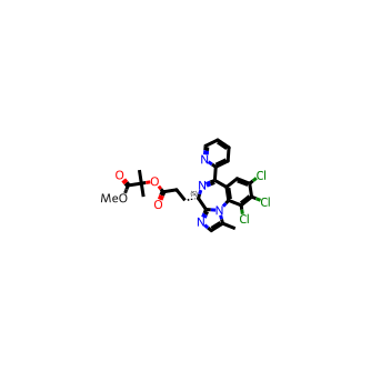 COC(=O)C(C)(C)OC(=O)CC[C@@H]1N=C(c2ccccn2)c2cc(Cl)c(Cl)c(Cl)c2-n2c(C)cnc21